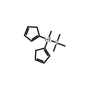 C[Si](C)(C)[Hf]([CH3])([C]1=CC=CC1)[C]1=CC=CC1